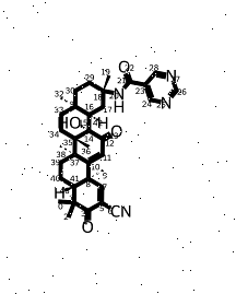 CC1(C)C(=O)C(C#N)=C[C@]2(C)C3=CC(=O)[C@]4(O)[C@@H]5C[C@@](C)(NC(=O)c6cncnc6)CC[C@]5(C)CC[C@@]4(C)[C@]3(C)CC[C@@H]12